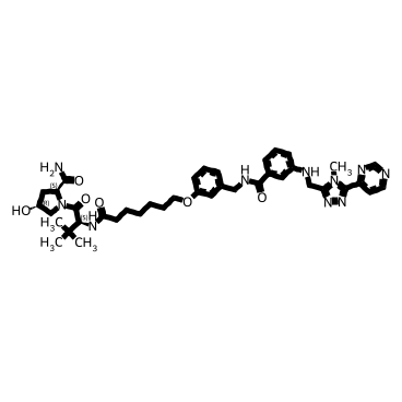 Cn1c(CNc2cccc(C(=O)NCc3cccc(OCCCCCCC(=O)N[C@H](C(=O)N4C[C@H](O)C[C@H]4C(N)=O)C(C)(C)C)c3)c2)nnc1-c1ccncn1